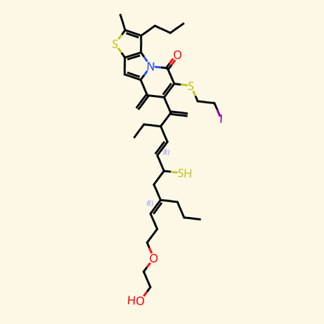 C=C(c1c(SCCI)c(=O)n2c(cc3sc(C)c(CCC)c32)c1=C)C(/C=C/C(S)C/C(=C/CCOCCO)CCC)CC